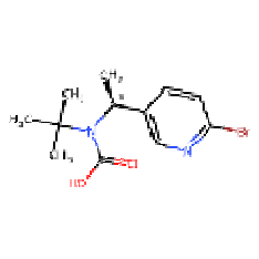 C[C@@H](c1ccc(Br)nc1)N(C(=O)O)C(C)(C)C